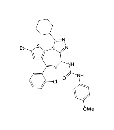 CCc1cc2c(s1)-n1c(C3CCCCC3)nnc1C(NC(=O)Nc1ccc(OC)cc1)N=C2c1ccccc1Cl